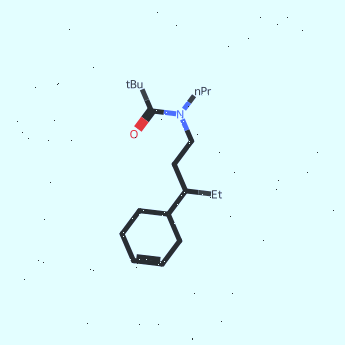 CCCN(CCC(CC)C1CC=CCC1)C(=O)C(C)(C)C